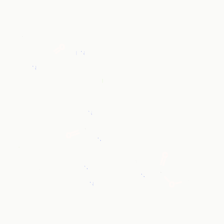 CN=S(=O)(c1ccc(-n2ccn(-c3c4c(nn3-c3cc(C)c(F)c(C)c3)CCN(C(=O)OC(C)(C)C)[C@H]4C)c2=O)c(F)c1NC)C1CC1